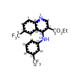 CCOC(=O)c1cnc2ccc(C(F)(F)F)cc2c1Nc1cccc(C(F)(F)F)c1